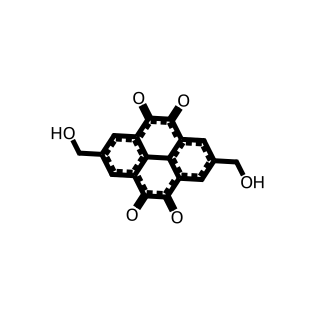 O=c1c(=O)c2cc(CO)cc3c2-c2c1cc(CO)cc2c(=O)c3=O